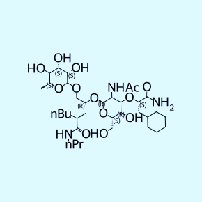 CCCCC(C[C@H](COC1O[C@@H](C)C(O)[C@H](O)[C@@H]1O)O[C@@H]1O[C@@H](CO)[C@H](O)C(O[C@@H](CC2CCCCC2)C(N)=O)C1NC(C)=O)C(=O)NCCC